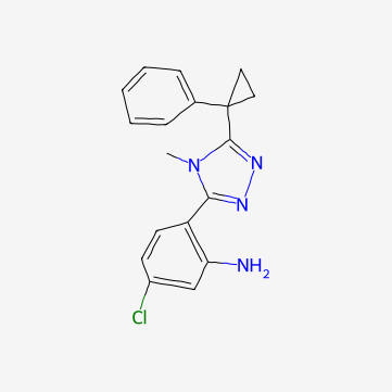 Cn1c(-c2ccc(Cl)cc2N)nnc1C1(c2ccccc2)CC1